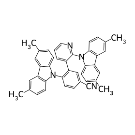 Cc1ccc2c(c1)c1cc(C)ccc1n2-c1ccc(C#N)cc1-c1cccnc1-n1c2ccc(C)cc2c2cc(C)ccc21